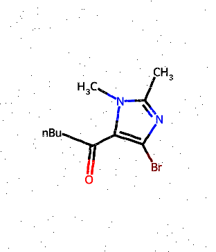 CCCCC(=O)c1c(Br)nc(C)n1C